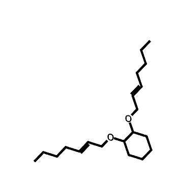 CCCC/C=C/COC1CCCCC1OC/C=C/CCCC